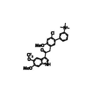 COc1cc(Cl)c(-c2cccc([N+](C)(C)C)c2)cc1CC(=O)c1c[nH]c2cc(OC)c(OC(F)(F)F)cc12